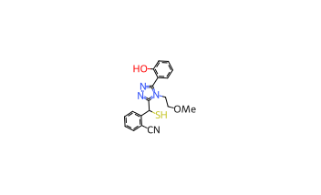 COCCn1c(-c2ccccc2O)nnc1C(S)c1ccccc1C#N